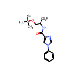 CC(C)(C)[Si](C)(C)OC[C@H](NC(=O)c1cn(-c2ccccc2)cn1)C(=O)O